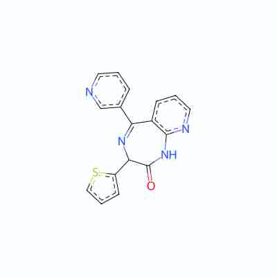 O=C1Nc2ncccc2C(c2cccnc2)=NC1c1cccs1